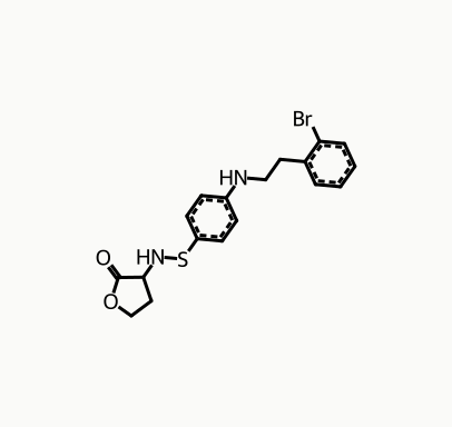 O=C1OCCC1NSc1ccc(NCCc2ccccc2Br)cc1